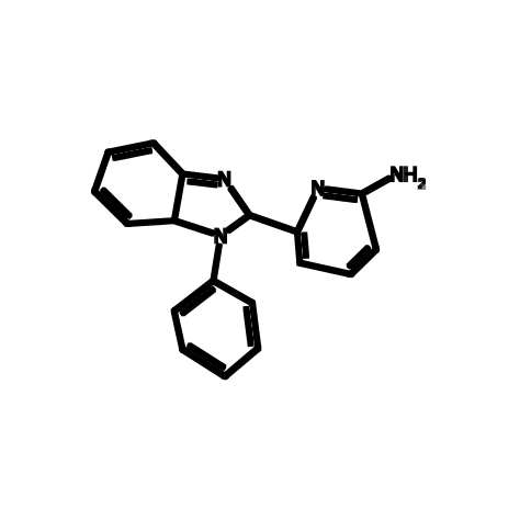 Nc1cccc(C2N=C3C=CC=CC3N2c2ccccc2)n1